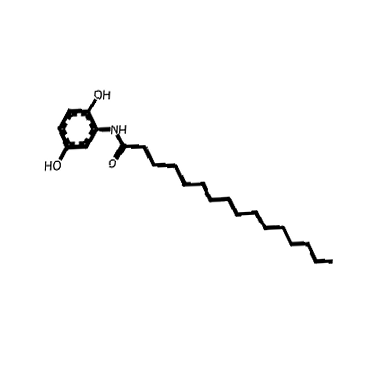 CCCCCCCCCCCCCCCC(=O)Nc1cc(O)ccc1O